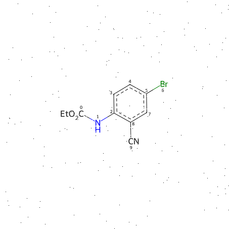 CCOC(=O)Nc1ccc(Br)cc1C#N